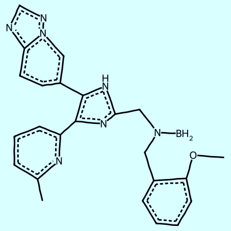 BN(Cc1nc(-c2cccc(C)n2)c(-c2ccc3ncnn3c2)[nH]1)Cc1ccccc1OC